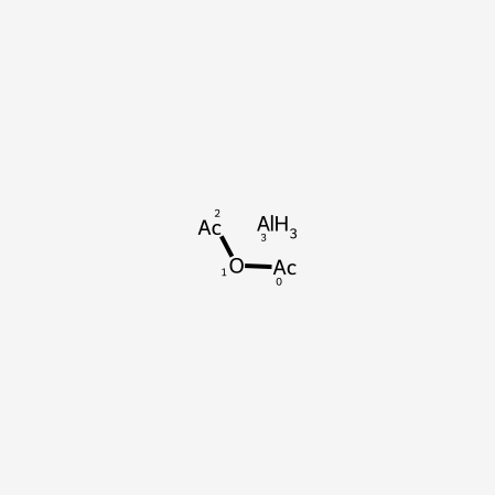 CC(=O)OC(C)=O.[AlH3]